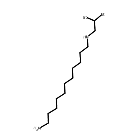 CCC(CC)CNCCCCCCCCCCCN